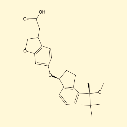 CO[C@@](C)(c1cccc2c1CC[C@@H]2Oc1ccc2c(c1)OCC2CC(=O)O)C(C)(C)C